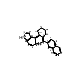 c1cc2ccc(-c3nc4ccc5[nH]ncc5c4c4c3CCCC4)cc2cn1